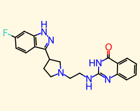 O=c1[nH]c(NCCN2CCC(c3n[nH]c4cc(F)ccc34)C2)nc2ccccc12